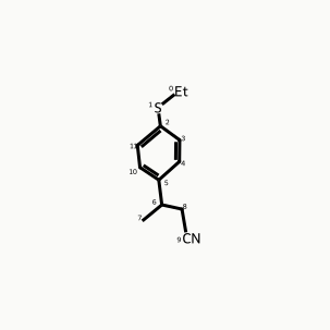 CCSc1ccc(C(C)CC#N)cc1